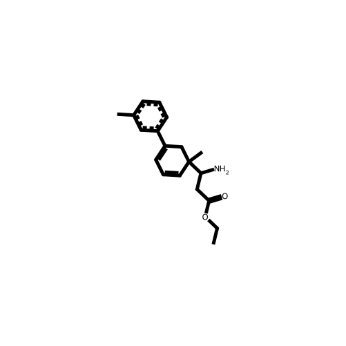 CCOC(=O)CC(N)C1(C)C=CC=C(c2cccc(C)c2)C1